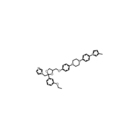 CCOc1cccc(C2(Cn3ccnc3)OCC(COc3ccc(N4CCN(c5ccc(-n6ccc(C)c6)cc5)CC4)cc3)O2)c1